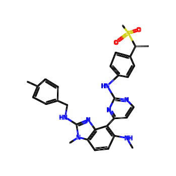 CNc1ccc2c(nc(NCc3ccc(C)cc3)n2C)c1-c1ccnc(Nc2ccc(C(C)S(C)(=O)=O)cc2)n1